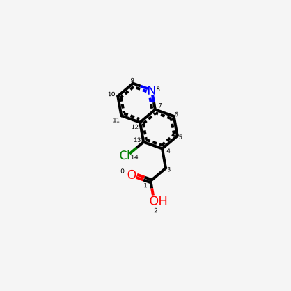 O=C(O)Cc1ccc2ncccc2c1Cl